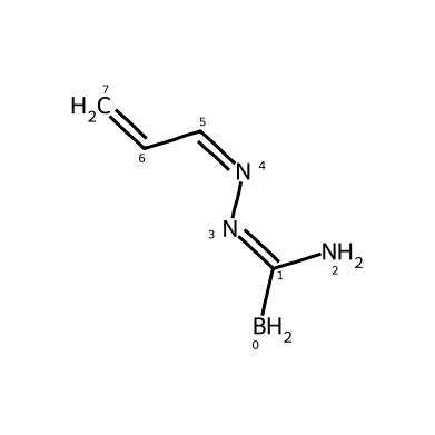 B/C(N)=N/N=C\C=C